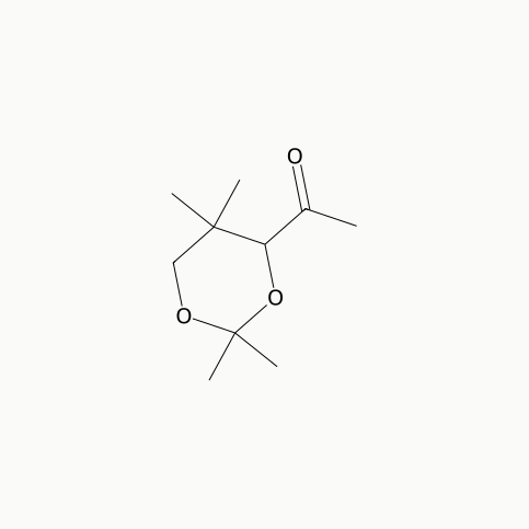 CC(=O)C1OC(C)(C)OCC1(C)C